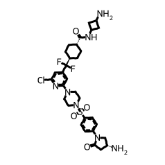 NC1CC(NC(=O)[C@H]2CC[C@H](C(F)(F)c3cc(Cl)nc(N4CCN(S(=O)(=O)c5ccc(N6C[C@H](N)CC6=O)cc5)CC4)c3)CC2)C1